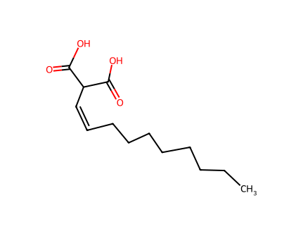 CCCCCCCC/C=C\C(C(=O)O)C(=O)O